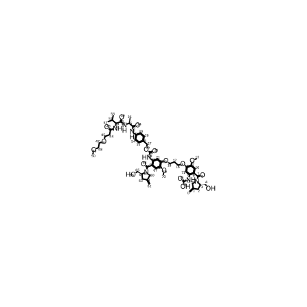 C=C1C[C@@H](CO)N(C(=O)c2cc(OC)c(OCCCOc3cc(NC(=O)OCc4ccc(NC(=O)[C@H](C)NC(=O)[C@@H](NC(=O)CCOCCOC)C(C)C)cc4)c(C(=O)N4CC(=C)C[C@H]4CO)cc3OC)cc2NC(=O)O)C1